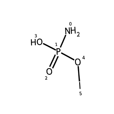 NP(=O)(O)OI